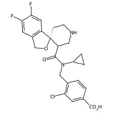 O=C(O)c1ccc(CN(C(=O)C2CNCC[C@@]23OCc2cc(F)c(F)cc23)C2CC2)c(Cl)c1